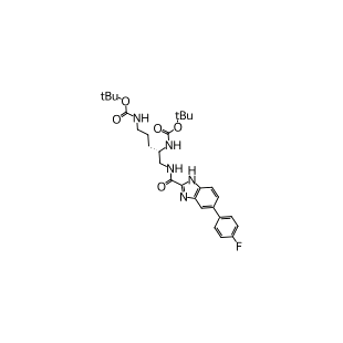 CC(C)(C)OC(=O)NCCC[C@@H](CNC(=O)c1nc2cc(-c3ccc(F)cc3)ccc2[nH]1)NC(=O)OC(C)(C)C